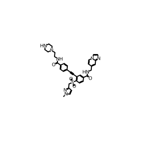 Cn1ccc(CS(=O)(=O)c2ccc(C(=O)NCc3ccn4ccnc4c3)cc2C#Cc2ccc(C(=O)NCCN3CCNCC3)cc2)n1